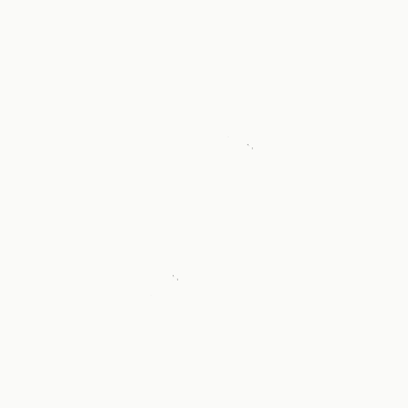 CN1CC[C@@H](Oc2cc(C(N)=O)ccc2F)C1